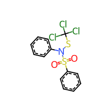 O=S(=O)(c1ccccc1)N(SC(Cl)(Cl)Cl)c1ccccc1